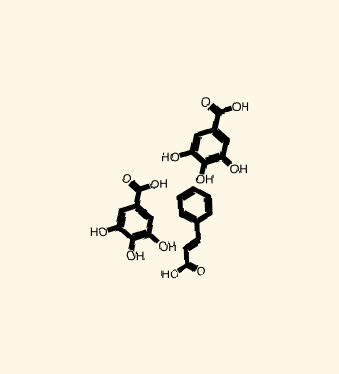 O=C(O)C=Cc1ccccc1.O=C(O)c1cc(O)c(O)c(O)c1.O=C(O)c1cc(O)c(O)c(O)c1